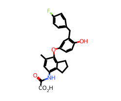 Cc1cc(NC(=O)C(=O)O)c2c(c1Oc1ccc(O)c(Cc3ccc(F)cc3)c1)CCC2